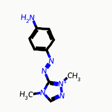 Cn1cn[n+](C)c1N=Nc1ccc(N)cc1